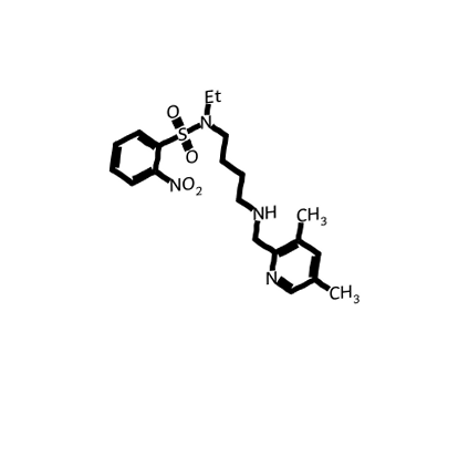 CCN(CCCCNCc1ncc(C)cc1C)S(=O)(=O)c1ccccc1[N+](=O)[O-]